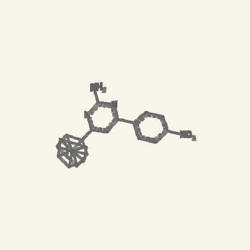 Nc1nc(-c2ccc([N+](=O)[O-])cc2)cc([C]23[CH]4[CH]5[CH]6[CH]2[Fe]56432789[CH]3[CH]2[CH]7[CH]8[CH]39)n1